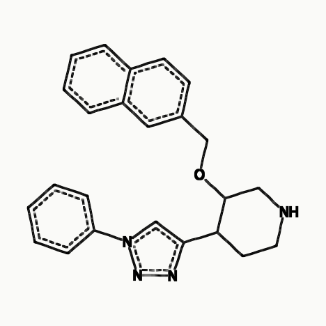 c1ccc(-n2cc(C3CCNCC3OCc3ccc4ccccc4c3)nn2)cc1